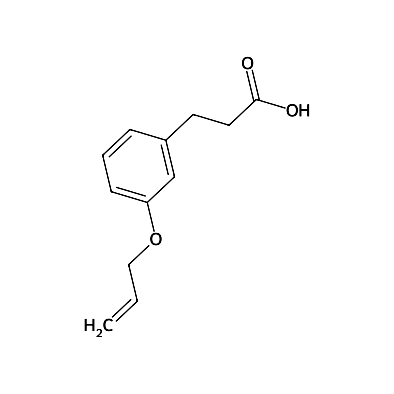 C=CCOc1cccc(CCC(=O)O)c1